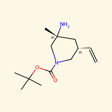 C=C[C@@H]1CN(C(=O)OC(C)(C)C)C[C@](C)(N)C1